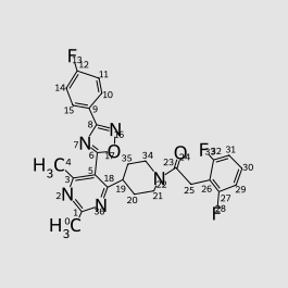 Cc1nc(C)c(-c2nc(-c3ccc(F)cc3)no2)c(C2CCN(C(=O)Cc3c(F)cccc3F)CC2)n1